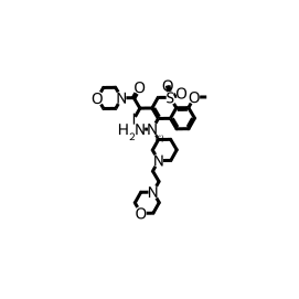 COc1cccc2c1S(=O)(=O)CC(C(I)C(=O)N1CCOCC1)=C2N(N)[C@H]1CCCN(CCN2CCOCC2)C1